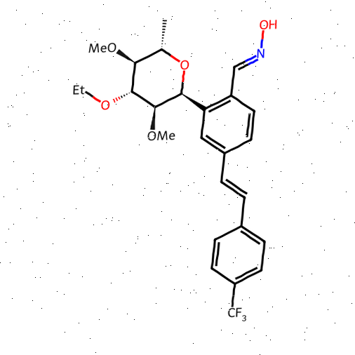 CCO[C@@H]1[C@@H](OC)[C@H](C)O[C@@H](c2cc(/C=C/c3ccc(C(F)(F)F)cc3)ccc2C=NO)[C@H]1OC